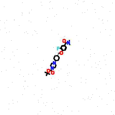 CN(C)C(=O)c1ccc(OC[C@H]2CC[C@H](N3CCN(C(=O)OC(C)(C)C)CC3)CC2)c(F)c1